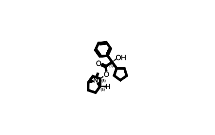 CN1C2CC[C@H]1[C@@H](OC(=O)[C@@](O)(c1ccccc1)C1CCCC1)C2